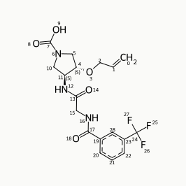 C=CCO[C@H]1CN(C(=O)O)C[C@@H]1NC(=O)CNC(=O)c1cccc(C(F)(F)F)c1